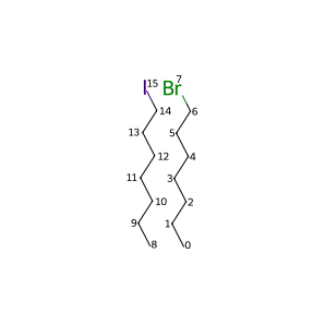 CCCCCCCBr.CCCCCCCI